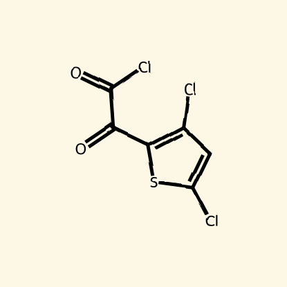 O=C(Cl)C(=O)c1sc(Cl)cc1Cl